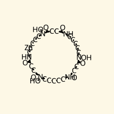 O=C1CCC(=O)N(O)CCCCCNC(=O)CCC(=O)N(O)CCCCCNC(=O)CCC(=O)N(O)CCCCCN1.[Zn]